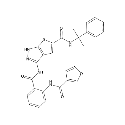 CC(C)(NC(=O)c1cc2c(NC(=O)c3ccccc3NC(=O)c3ccoc3)n[nH]c2s1)c1ccccc1